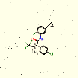 C[C@H]([C@H](C(=O)Nc1cc(C2CC2)ccc1F)c1ccc(Cl)cc1)C(F)(F)F